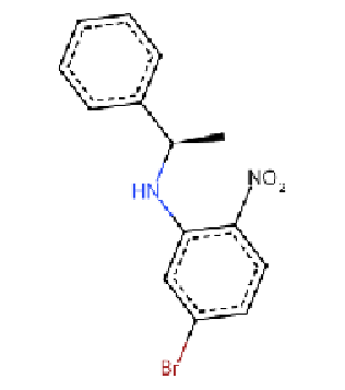 C[C@@H](Nc1cc(Br)ccc1[N+](=O)[O-])c1ccccc1